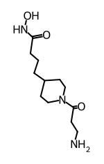 NCCC(=O)N1CCC(CCCC(=O)NO)CC1